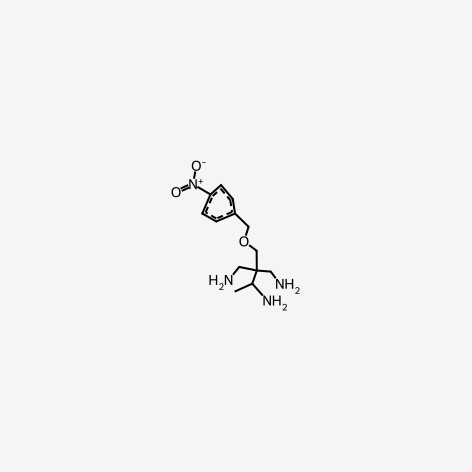 CC(N)C(CN)(CN)COCc1ccc([N+](=O)[O-])cc1